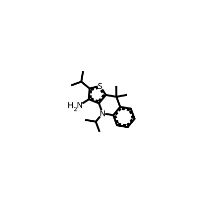 CC(C)c1sc2c(c1N)N(C(C)C)c1ccccc1C2(C)C